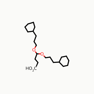 O=C(O)CCC(OCCCC1CCCCC1)OCCCC1CCCCC1